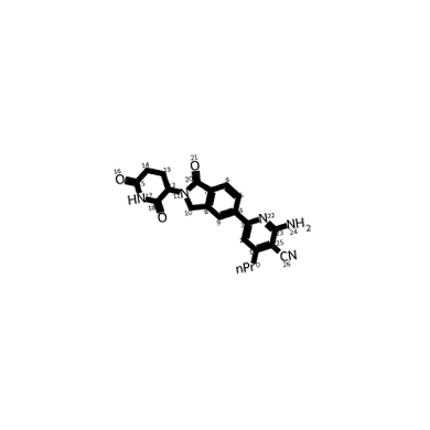 CCCc1cc(-c2ccc3c(c2)CN(C2CCC(=O)NC2=O)C3=O)nc(N)c1C#N